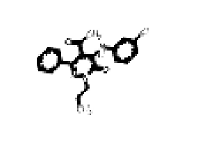 CCCn1nc(-c2ccccc2)c(C(C)=O)c(Nc2cccc(Cl)c2)c1=O